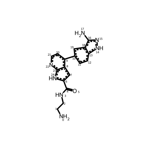 NCCNC(=O)c1cc2c(-c3ccc4[nH]nc(N)c4c3)ccnc2[nH]1